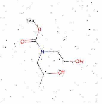 CC(O)CN(CCO)C(=O)OC(C)(C)C